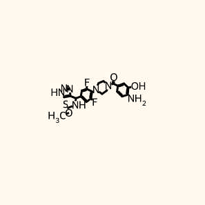 COC(=S)NC(c1cc(F)c(N2CCN(C(=O)c3ccc(N)c(O)c3)CC2)c(F)c1)c1c[nH]nn1